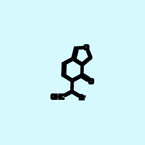 O=CC(Br)C1C=CC2=COCC2C1=O